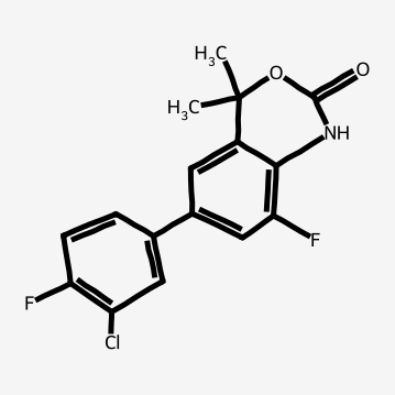 CC1(C)OC(=O)Nc2c(F)cc(-c3ccc(F)c(Cl)c3)cc21